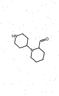 O=CC1CCCCN1C1CCNCC1